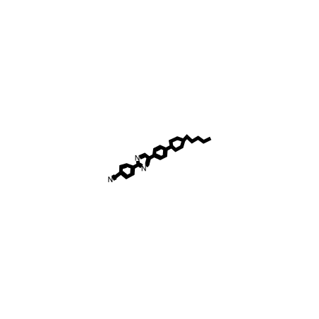 CCCCCC1CCC(c2ccc(-c3cnc(-c4ccc(C#N)cc4)nc3)cc2)CC1